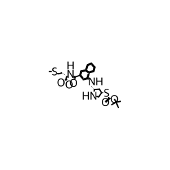 COC(=O)[C@H](CCSC)NC(=O)c1cc(NC[C@@H]2C[C@H](SC(=O)OC(C)(C)C)CN2)c2ccccc2c1